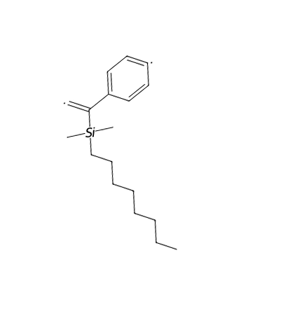 [CH]=C(c1cc[c]cc1)[Si](C)(C)CCCCCCCC